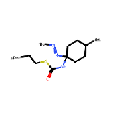 CCCCCCCCCCCCSC(=O)NC1(N=NC(C)(C)C)CCC(C(C)(C)C)CC1